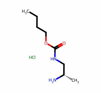 CCCCOC(=O)NC[C@H](C)N.Cl